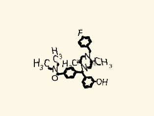 CCN(CC)C(=O)c1ccc(C(c2cccc(O)c2)N2C[C@@H](C)N(Cc3ccc(F)cc3)C[C@@H]2C)cc1